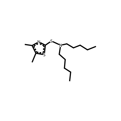 CCCCCN(CCCCC)Sc1nc(C)c(C)s1